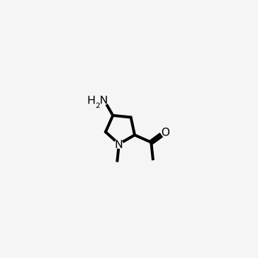 CC(=O)C1CC(N)CN1C